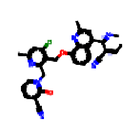 C/C=C(C#N)\C(=N/C)c1cc(C)nc2c(OCc3c(Cl)cc(C)nc3Cn3cccc(C#N)c3=O)cccc12